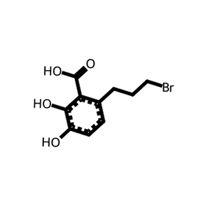 O=C(O)c1c(CCCBr)ccc(O)c1O